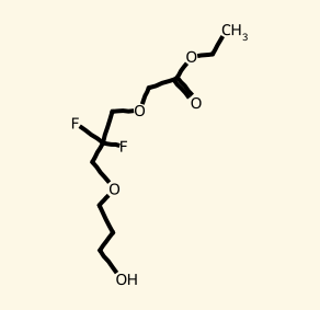 CCOC(=O)COCC(F)(F)COCCCO